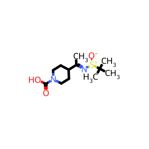 C/C(=N\[S@+]([O-])C(C)(C)C)C1CCN(C(=O)O)CC1